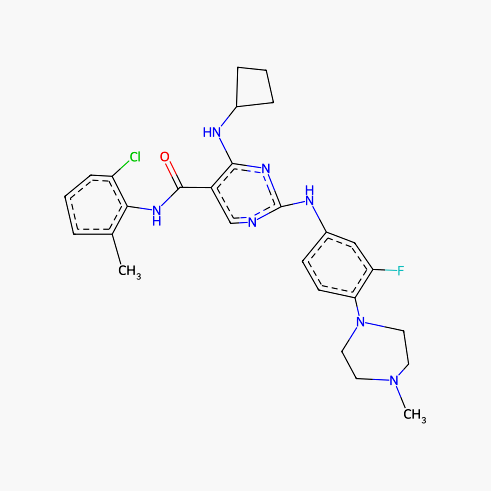 Cc1cccc(Cl)c1NC(=O)c1cnc(Nc2ccc(N3CCN(C)CC3)c(F)c2)nc1NC1CCC1